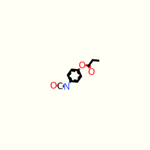 CCC(=O)Oc1ccc(N=C=O)cc1